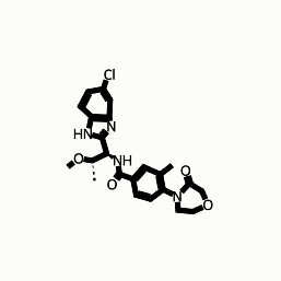 CO[C@@H](C)[C@H](NC(=O)c1ccc(N2CCOCC2=O)c(C)c1)c1nc2cc(Cl)ccc2[nH]1